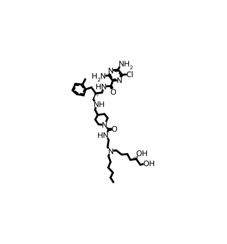 CCCCCCN(CCCC[C@H](O)CO)CCNC(=O)N1CCC(CNC[C@H](CNC(=O)c2nc(Cl)c(N)nc2N)Cc2ccccc2C)CC1